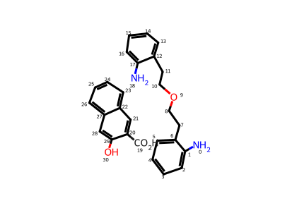 Nc1ccccc1CCOCCc1ccccc1N.O=C(O)c1cc2ccccc2cc1O